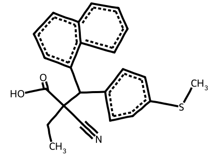 CCC(C#N)(C(=O)O)C(c1ccc(SC)cc1)c1cccc2ccccc12